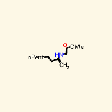 C=C(CCCCCCC)NCC(=O)OC